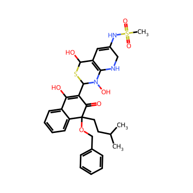 CC(C)CCC1(OCc2ccccc2)C(=O)C(C2SC(O)C3=C(NCC(NS(C)(=O)=O)=C3)N2O)=C(O)c2ccccc21